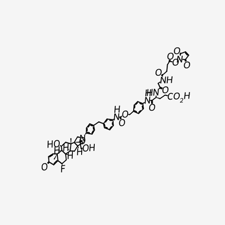 C[C@]12C=CC(=O)C=C1[C@@H](F)C[C@@H]1[C@@H]2[C@@H](O)C[C@@]2(C)[C@H]1C[C@H]1CN(c3ccc(Cc4cccc(NC(=O)OCc5ccc(NC(=O)[C@H](CCC(=O)O)NC(=O)CNC(=O)CCC(=O)ON6C(=O)C=CC6=O)cc5)c4)cc3)C[C@]12C(=O)CO